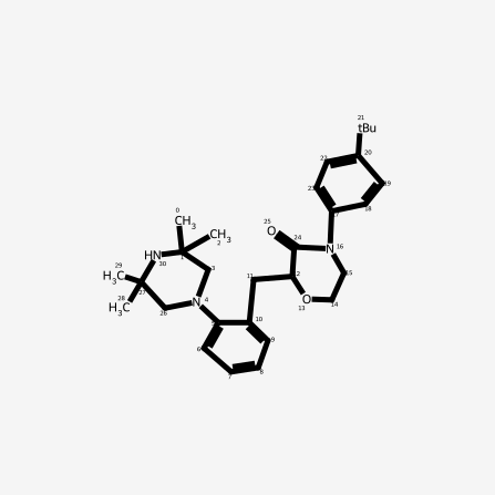 CC1(C)CN(c2ccccc2CC2OCCN(c3ccc(C(C)(C)C)cc3)C2=O)CC(C)(C)N1